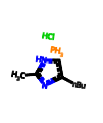 CCCCc1c[nH]c(C)n1.Cl.P